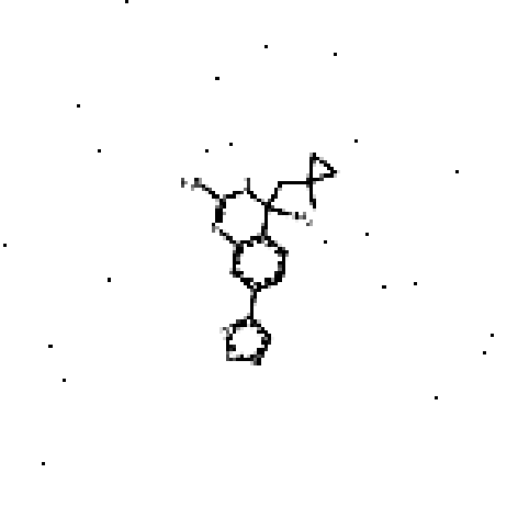 CC1(CC2(N)NC(N)=Nc3cc(-c4ccn[nH]4)ccc32)CC1